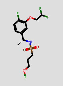 C[C@@H](NS(=O)(=O)CCCOF)c1ccc(F)c(OCC(F)F)c1